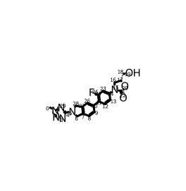 Cn1nnc(N2Cc3ccc(-c4ccc(N5C[C@H](CO)OC5=O)cc4F)cc3C2)n1